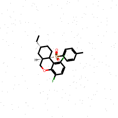 CC[C@@H]1CC[C@@]2(S(=O)(=O)c3ccc(C)cc3)c3c(F)ccc(F)c3OC[C@H]2C1